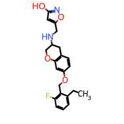 CCc1cccc(F)c1COc1ccc2c(c1)OCC(NCc1cc(O)no1)C2